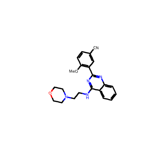 COc1ccc(C#N)cc1-c1nc(NCCN2CCOCC2)c2ccccc2n1